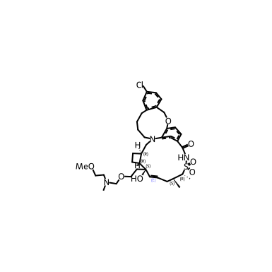 COCCN(C)COCC[C@@]1(O)/C=C/C[C@H](C)[C@@H](C)S(=O)(=O)NC(=O)c2ccc3c(c2)N(CCCCc2cc(Cl)ccc2CO3)C[C@@H]2CC[C@H]21